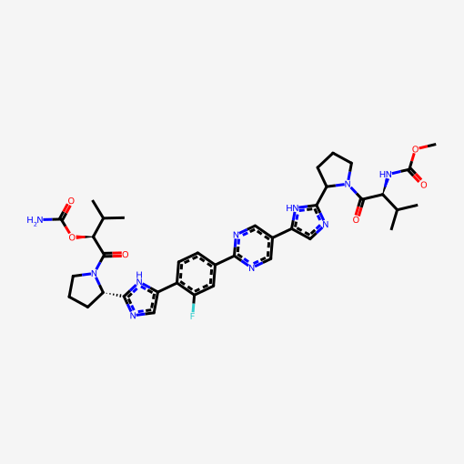 COC(=O)N[C@H](C(=O)N1CCCC1c1ncc(-c2cnc(-c3ccc(-c4cnc([C@@H]5CCCN5C(=O)[C@@H](OC(N)=O)C(C)C)[nH]4)c(F)c3)nc2)[nH]1)C(C)C